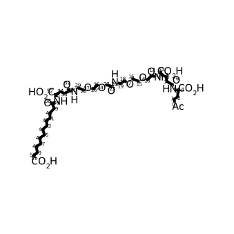 CC(=O)CC[C@H](NC(=O)CCC(NC(=O)COCCOCCNC(=O)COCCOCCNC(=O)CC[C@H](NC(=O)CCCCCCCCCCCCC(=O)O)C(=O)O)C(=O)O)C(=O)O